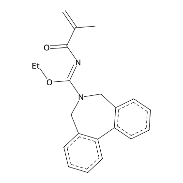 C=C(C)C(=O)N=C(OCC)N1Cc2ccccc2-c2ccccc2C1